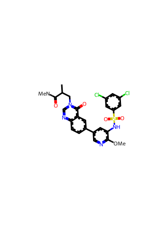 CNC(=O)C(C)Cn1cnc2ccc(-c3cnc(OC)c(NS(=O)(=O)c4cc(Cl)cc(Cl)c4)c3)cc2c1=O